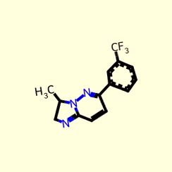 CC1CN=C2C=CC(c3cccc(C(F)(F)F)c3)=NN21